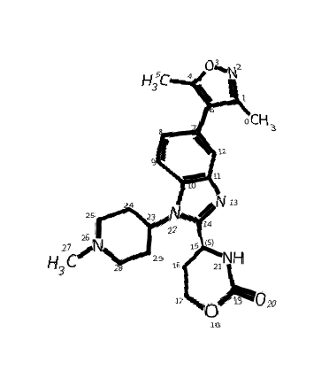 Cc1noc(C)c1-c1ccc2c(c1)nc([C@@H]1CCOC(=O)N1)n2C1CCN(C)CC1